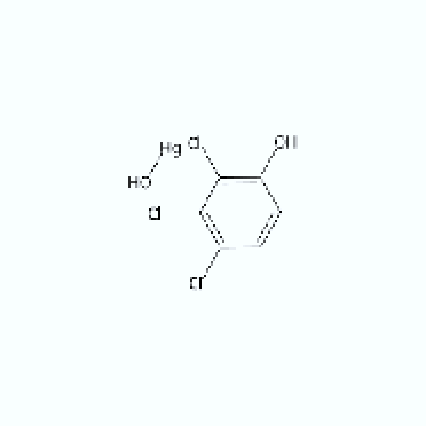 Oc1ccc(Cl)c(Cl)c1Cl.[OH][Hg]